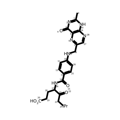 Cc1nc(=O)c2nc(CNc3ccc(C(=O)NC(CCC(=O)O)C(=O)CC(C)C)cc3)cnc2[nH]1